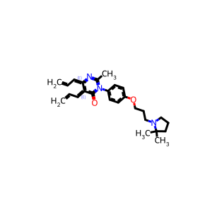 C=C/C=c1/nc(C)n(-c2ccc(OCCCN3CCCC3(C)C)cc2)c(=O)/c1=C/C=C